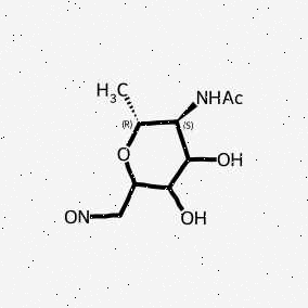 CC(=O)N[C@H]1C(O)C(O)C(CN=O)O[C@@H]1C